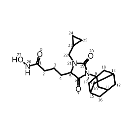 O=C(CCCC1C(=O)N(C23CC4CC(CC(C4)C2)C3)C(=O)N1CC1CC1)NO